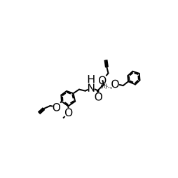 C#CCOc1ccc(CCNC(=O)[C@@H](COCc2ccccc2)OCC#C)cc1OC